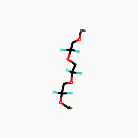 CC(C)(C)OCC(F)(F)OCC(F)(F)OCC(F)(F)OC(C)(C)C